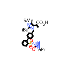 C=C(C(=O)O)c1c(SC)nc(C(C)CC)n1Cc1ccc(-c2ccccc2S(=O)(=O)NC(=O)NCCC)cc1